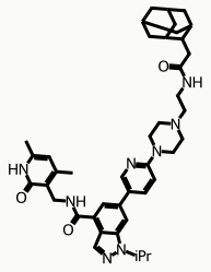 Cc1cc(C)c(CNC(=O)c2cc(-c3ccc(N4CCN(CCNC(=O)CC5C6CC7CC(C6)CC5C7)CC4)nc3)cc3c2cnn3C(C)C)c(=O)[nH]1